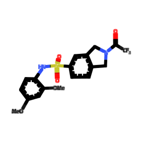 COc1ccc(NS(=O)(=O)c2ccc3c(c2)CN(C(=O)C(F)(F)F)C3)c(OC)c1